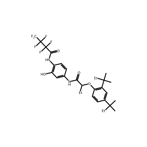 CCC(Oc1ccc(C(C)(C)CC)cc1C(C)(C)CC)C(=O)Nc1ccc(NC(=O)C(F)(F)C(F)(F)C(F)(F)F)c(O)c1